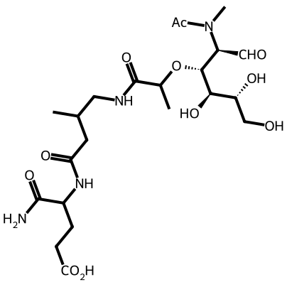 CC(=O)N(C)[C@@H](C=O)[C@@H](OC(C)C(=O)NCC(C)CC(=O)NC(CCC(=O)O)C(N)=O)[C@H](O)[C@H](O)CO